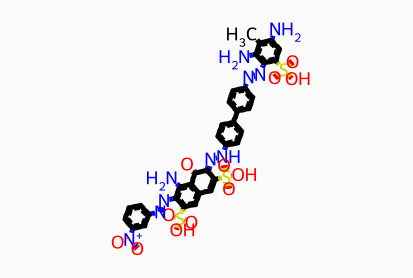 Cc1c(N)cc(S(=O)(=O)O)c(N=Nc2ccc(-c3ccc(N/N=C4/C(=O)c5c(cc(S(=O)(=O)O)c(N=Nc6cccc([N+](=O)[O-])c6)c5N)C=C4S(=O)(=O)O)cc3)cc2)c1N